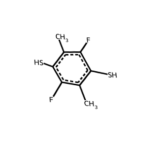 Cc1c(F)c(S)c(C)c(F)c1S